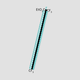 CCOC(=O)C(F)(C(F)(F)F)C(F)(F)C(F)(F)C(F)(F)C(F)(F)C(F)(F)C(F)(F)C(F)(F)C(F)(F)C(F)(F)C(F)(F)C(F)(F)C(F)(F)C(F)(F)C(F)(F)C(F)(F)C(F)(F)C(F)(F)C(F)(F)C(F)(F)C(F)(F)C(F)(F)C(F)(F)C(F)(F)C(F)(F)C(F)(F)C(F)(F)C(F)(F)C(F)(F)C(F)(F)C(F)(F)C(F)(F)F